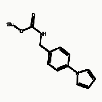 CC(C)(C)OC(=O)NCc1ccc(-n2cccc2)cc1